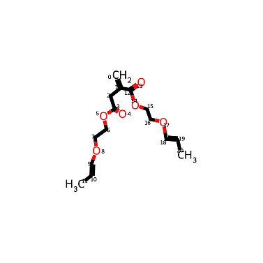 C=C(CC(=O)OCCOC=CC)C(=O)OCCOC=CC